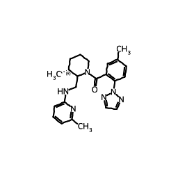 Cc1ccc(-n2nccn2)c(C(=O)N2CCC[C@@H](C)C2CNc2cccc(C)n2)c1